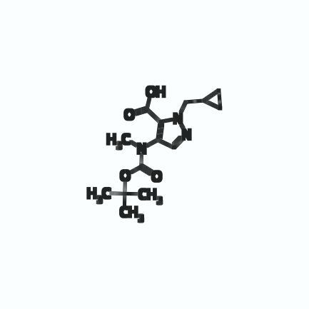 CN(C(=O)OC(C)(C)C)c1cnn(CC2CC2)c1C(=O)O